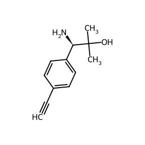 C#Cc1ccc([C@@H](N)C(C)(C)O)cc1